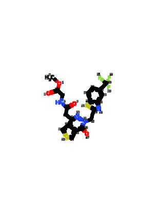 COC(=O)CNC(=O)Cc1nn(Cc2nc3cc(C(F)(F)F)ccc3s2)c(=O)c2cscc12